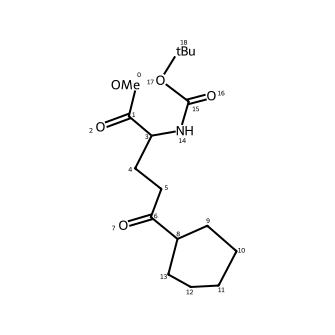 COC(=O)C(CCC(=O)C1CCCCC1)NC(=O)OC(C)(C)C